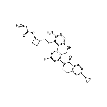 C=CC(=O)ON1CC[C@H]1COc1c(N)ncnc1-c1cc(F)cc(N2CCc3cc(C4CC4)ccc3C2=O)c1CO